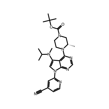 CC(C)N(C)c1cn(-c2cc(C#N)ccn2)c2ncnc(N3CCN(C(=O)OC(C)(C)C)C[C@@H]3C)c12